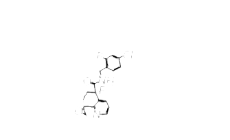 O=C(NCc1ccc(Cl)cc1F)[C@]1(F)CC[C@@]2(CO2)c2ncccc21